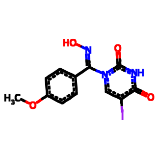 COc1ccc(/C(=N\O)n2cc(I)c(=O)[nH]c2=O)cc1